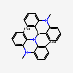 CN1c2ccccc2B(N2c3c(cccc3C(C)(C)C)N(C)c3cccc(C(C)(C)C)c32)c2ccccc21